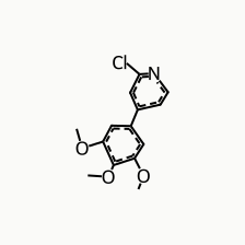 COc1cc(-c2ccnc(Cl)c2)cc(OC)c1OC